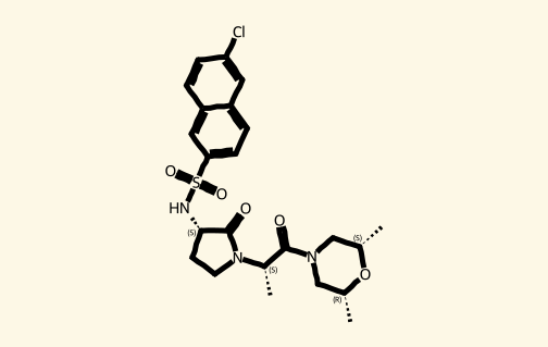 C[C@@H]1CN(C(=O)[C@H](C)N2CC[C@H](NS(=O)(=O)c3ccc4cc(Cl)ccc4c3)C2=O)C[C@H](C)O1